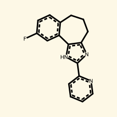 Fc1ccc2c(c1)-c1[nH]c(-c3ccccn3)nc1CCC2